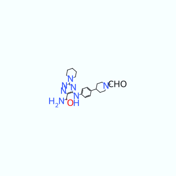 NC(=O)c1nnc(N2CCCCC2)nc1Nc1ccc(C2CCN(C=O)CC2)cc1